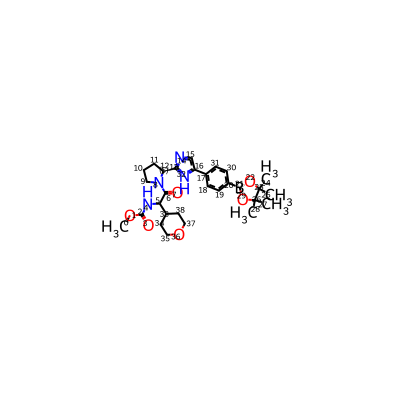 COC(=O)NC(C(=O)N1CCC[C@H]1c1ncc(-c2ccc(B3OC(C)(C)C(C)(C)O3)cc2)[nH]1)C1CCOCC1